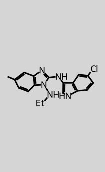 CCNn1c(Nc2c[nH]c3ccc(Cl)cc23)nc2cc(C)ccc21